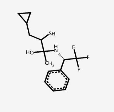 CC(O)(N[C@@H](c1ccccc1)C(F)(F)F)C(S)CC1CC1